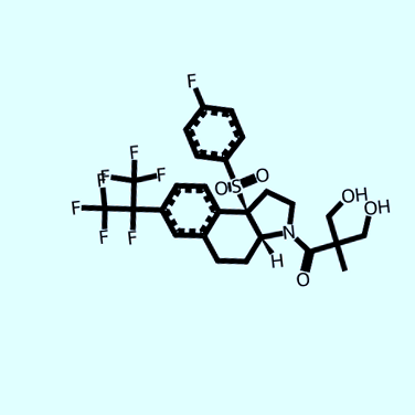 CC(CO)(CO)C(=O)N1CC[C@@]2(S(=O)(=O)c3ccc(F)cc3)c3ccc(C(F)(C(F)(F)F)C(F)(F)F)cc3CC[C@@H]12